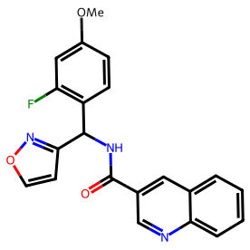 COc1ccc(C(NC(=O)c2cnc3ccccc3c2)c2ccon2)c(F)c1